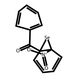 O=C(c1ccccc1)C12C=CC=CC1([N+](=O)[O-])[Se]2